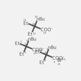 CCCCC(CC)(CC)C(=O)[O-].CCCCC(CC)(CC)C(=O)[O-].CCCCC(CC)(CC)C(=O)[O-].[Bi+3]